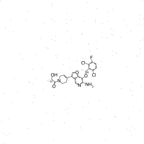 C[C@H](O)C(=O)N1CC=C(c2coc3c(O[C@H](C)c4c(Cl)ccc(F)c4Cl)c(N)ncc23)CC1